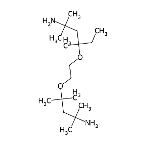 CCC(C)(CC(C)(C)N)OCCOC(C)(C)CC(C)(C)N